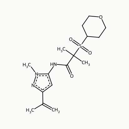 C=C(C)c1cc(NC(=O)C(C)(C)S(=O)(=O)C2CCOCC2)n(C)n1